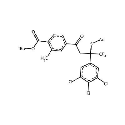 CC(=O)SC(CC(=O)c1ccc(C(=O)OC(C)(C)C)c(C)c1)(c1cc(Cl)c(Cl)c(Cl)c1)C(F)(F)F